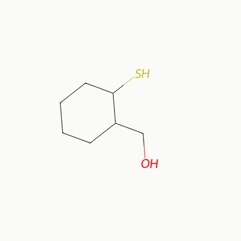 OCC1CCCCC1S